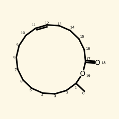 CC1CCCCCCCCCC=CCCCCC(=O)O1